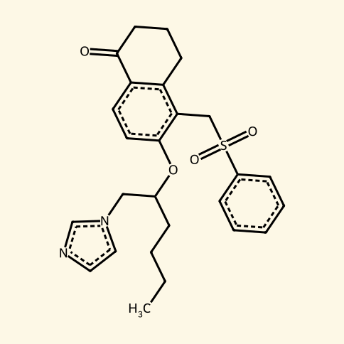 CCCCC(Cn1ccnc1)Oc1ccc2c(c1CS(=O)(=O)c1ccccc1)CCCC2=O